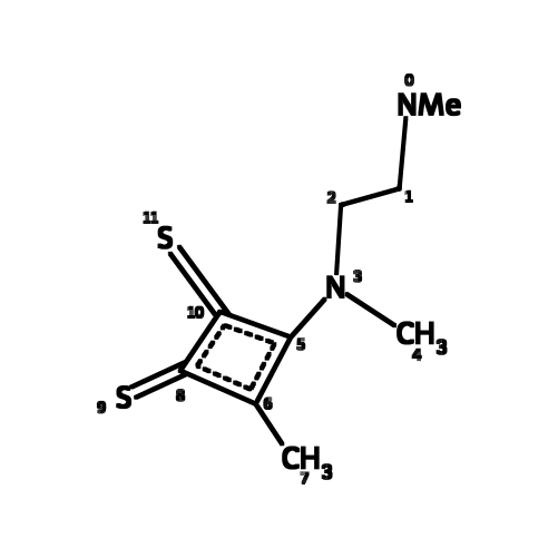 CNCCN(C)c1c(C)c(=S)c1=S